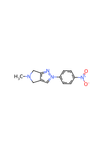 CN1Cc2cn(-c3ccc([N+](=O)[O-])cc3)nc2C1